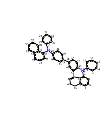 C1=Cc2c(cccc2N(c2ccccc2)c2ccc(-c3ccc(N(c4ccccc4)c4cccc5ccccc45)cc3)cc2)CC1